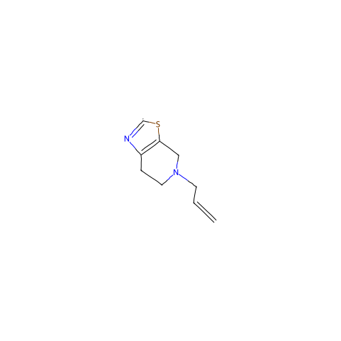 C=CCN1CCc2n[c]sc2C1